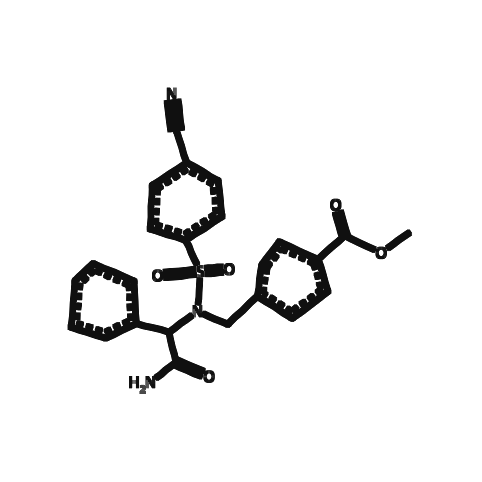 COC(=O)c1ccc(CN(C(C(N)=O)c2ccccc2)S(=O)(=O)c2ccc(C#N)cc2)cc1